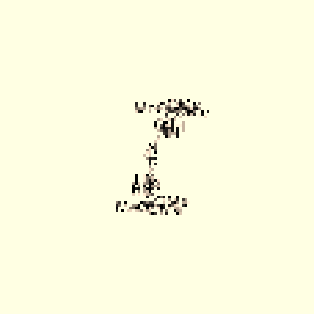 COc1cc(NC(=O)NCCCN2CCCN(CCCNC(=O)Nc3cc(OC)c(OC)c(OC)c3)CC2)cc(OC)c1OC